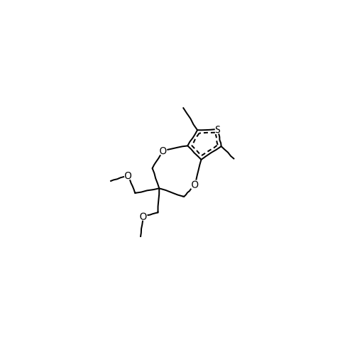 COCC1(COC)COc2c(C)sc(C)c2OC1